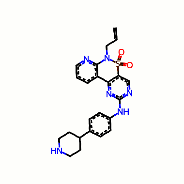 C=CCN1c2ncccc2-c2nc(Nc3ccc(C4CCNCC4)cc3)ncc2S1(=O)=O